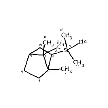 CC1(C)C2CCC1(C)C([Si](C)(C)Cl)C2